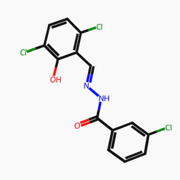 O=C(N/N=C/c1c(Cl)ccc(Cl)c1O)c1cccc(Cl)c1